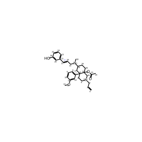 C=CCN1CCC2(c3cccc(OC)c3)CC(N(C)C/C=C/c3cccc(O)c3)CCC2(OC(C)=O)C1